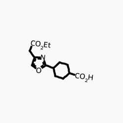 CCOC(=O)Cc1coc(C2CCC(C(=O)O)CC2)n1